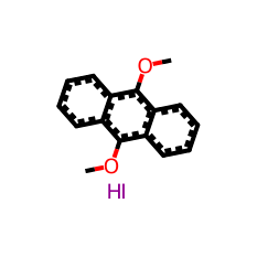 COc1c2ccccc2c(OC)c2ccccc12.I